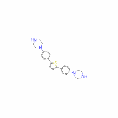 c1cc(N2CCNCC2)ccc1-c1ccc(-c2ccc(N3CCNCC3)cc2)s1